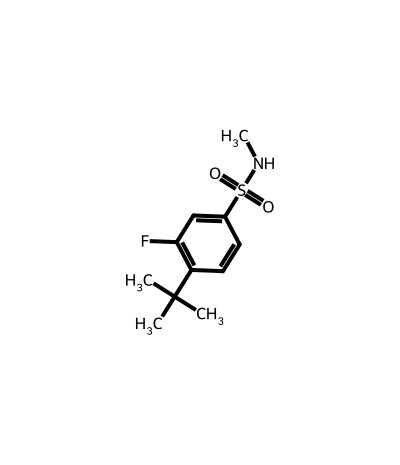 CNS(=O)(=O)c1ccc(C(C)(C)C)c(F)c1